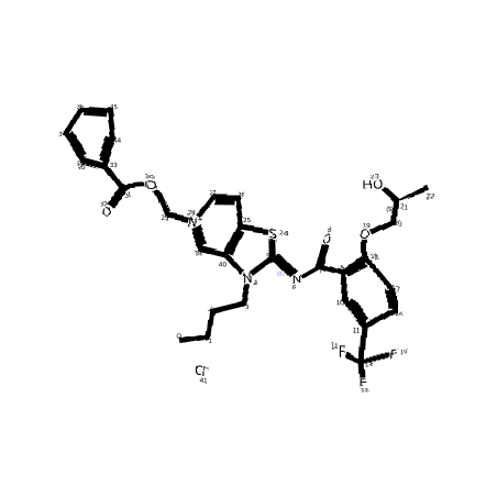 CCCCn1/c(=N/C(=O)c2cc(C(F)(F)F)ccc2OC[C@H](C)O)sc2cc[n+](COC(=O)c3ccccc3)cc21.[Cl-]